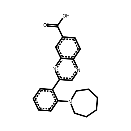 O=C(O)c1ccc2ncc(-c3ccccc3N3CCCCCC3)nc2c1